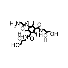 CN(C(=O)CN)c1c(I)c(C(=O)NCC(O)CO)c(I)c(C(=O)NCC(O)CO)c1I